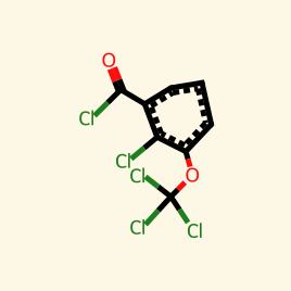 O=C(Cl)c1cccc(OC(Cl)(Cl)Cl)c1Cl